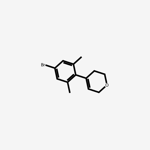 Cc1cc(Br)cc(C)c1C1=CCOCC1